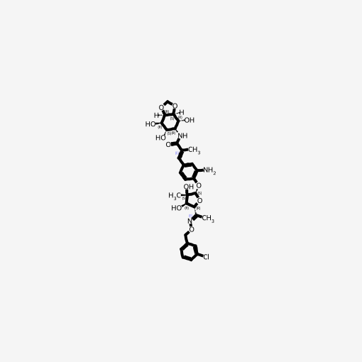 C/C(=C\c1ccc(O[C@@H]2O[C@H](/C(C)=N/OCc3cccc(Cl)c3)[C@@H](O)[C@]2(C)O)c(N)c1)C(=O)N[C@@H]1[C@H](O)[C@@H](O)[C@H]2OCO[C@H]2[C@@H]1O